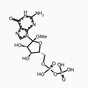 CO[C@@]1(n2cnc3c(=O)[nH]c(N)nc32)O[C@H](COP(=O)(O)OP(=O)(O)O)[C@@H](O)[C@H]1O